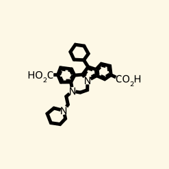 O=C(O)c1ccc2c(c1)N(CCN1CCCCC1)CCn1c-2c(C2CCCCC2)c2ccc(C(=O)O)cc21